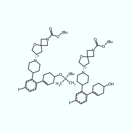 CC(C)(C)OC(=O)N1CC2(C[C@H](N3CCC(c4cc(F)ccc4C4=CCC(O)CC4)CC3)CO2)C1.CC(C)(C)OC(=O)N1CC2(C[C@H](N3CCC(c4cc(F)ccc4C4=CCC(O[Si](C)(C)C(C)(C)C)CC4)CC3)CO2)C1